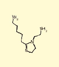 NCCCCCC1=NCCN1CCN